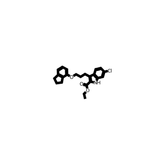 CCOC(=O)c1[nH]c2cc(Cl)ccc2c1CCCOc1cccc2c1CCC2